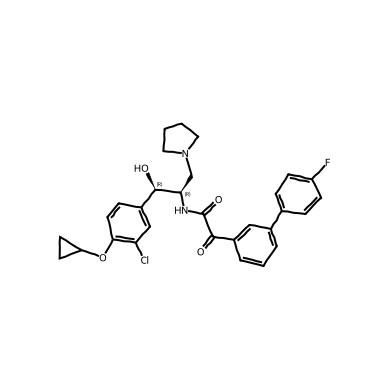 O=C(N[C@H](CN1CCCC1)[C@H](O)c1ccc(OC2CC2)c(Cl)c1)C(=O)c1cccc(-c2ccc(F)cc2)c1